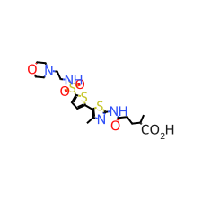 Cc1nc(NC(=O)CCC(C)C(=O)O)sc1-c1ccc(S(=O)(=O)NCCN2CCOCC2)s1